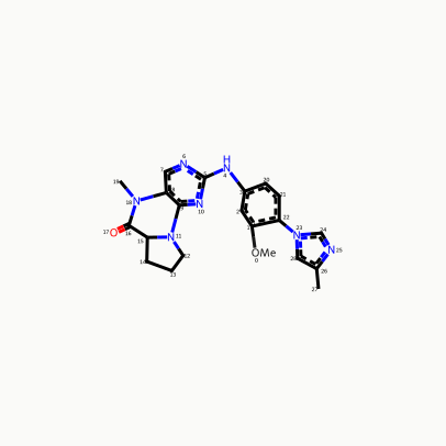 COc1cc(Nc2ncc3c(n2)N2CCCC2C(=O)N3C)ccc1-n1cnc(C)c1